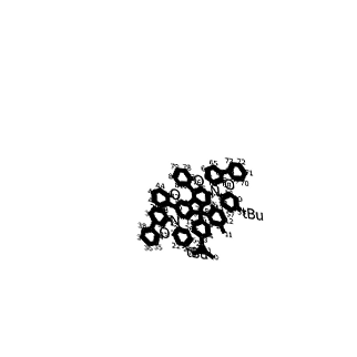 CC1=C(c2ccc(C3(c4cc(C)ccc4C)c4cc(N(c5ccc(C(C)(C)C)cc5)c5cccc6c5oc5ccccc56)c5c(oc6ccccc65)c4-c4c3cc(N(c3ccc(C(C)(C)C)cc3)c3cccc5c3oc3ccccc35)c3oc5ccccc5c43)cc2)C1C